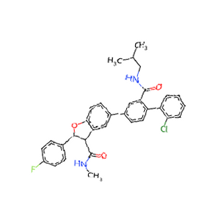 CNC(=O)C1c2cc(-c3ccc(-c4ccccc4Cl)c(C(=O)NCC(C)C)c3)ccc2OC1c1ccc(F)cc1